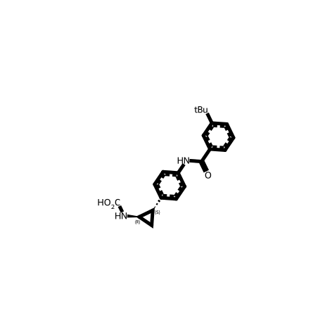 CC(C)(C)c1cccc(C(=O)Nc2ccc([C@@H]3C[C@H]3NC(=O)O)cc2)c1